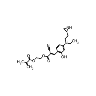 C=C(C)C(=O)OCCOC(=O)/C(C#N)=C/c1ccc(N(CC)CC[C@H]2CN2)cc1O